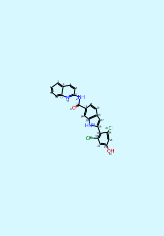 O=C(Nc1ccc2ccccc2n1)c1ccc2cc(-c3c(Cl)cc(O)cc3Cl)[nH]c2c1